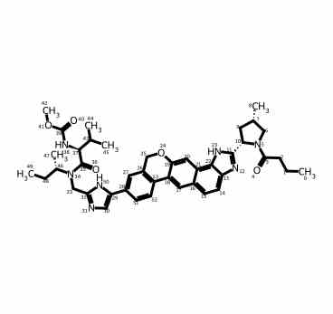 CCCC(=O)N1C[C@@H](C)C[C@H]1c1nc2ccc3cc4c(cc3c2[nH]1)OCc1cc(-c2cnc(CN(C(=O)[C@@H](NC(=O)OC)C(C)C)[C@@H](C)CC)[nH]2)ccc1-4